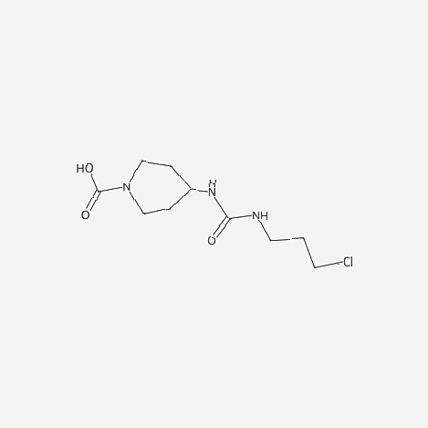 O=C(NCCCCl)NC1CCN(C(=O)O)CC1